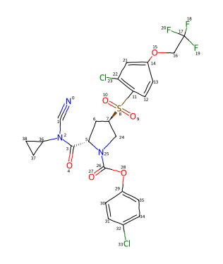 N#CN(C(=O)[C@@H]1C[C@@H](S(=O)(=O)c2ccc(OCC(F)(F)F)cc2Cl)CN1C(=O)Oc1ccc(Cl)cc1)C1CC1